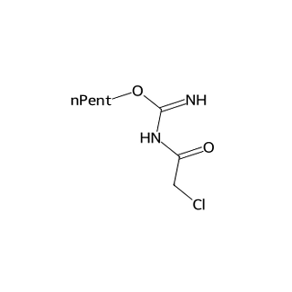 CCCCCOC(=N)NC(=O)CCl